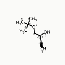 C#C[C@H](O)COC(C)(C)C